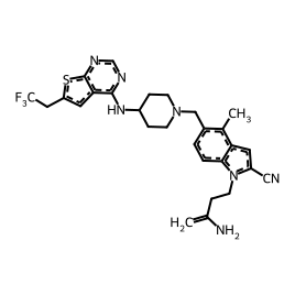 C=C(N)CCn1c(C#N)cc2c(C)c(CN3CCC(Nc4ncnc5sc(CC(F)(F)F)cc45)CC3)ccc21